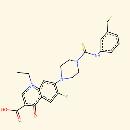 CCn1cc(C(=O)O)c(=O)c2cc(F)c(N3CCN(C(=S)Nc4cccc(CF)c4)CC3)cc21